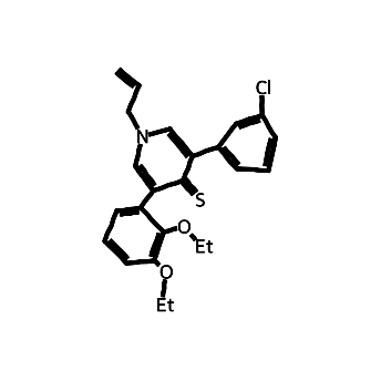 C=CCn1cc(-c2cccc(Cl)c2)c(=S)c(-c2cccc(OCC)c2OCC)c1